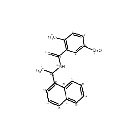 Cc1ccc(C=O)cc1C(=O)NC(C)c1cccc2ccccc12